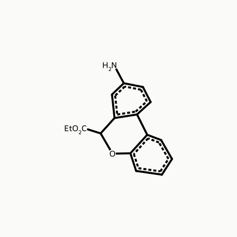 CCOC(=O)C1Oc2ccccc2-c2ccc(N)cc21